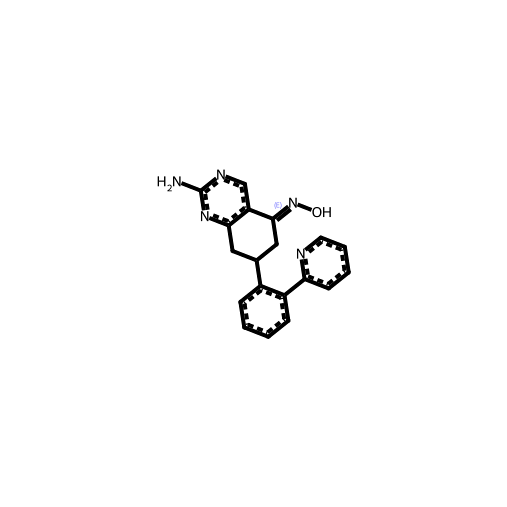 Nc1ncc2c(n1)CC(c1ccccc1-c1ccccn1)C/C2=N\O